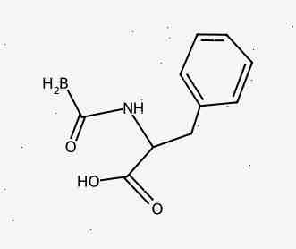 BC(=O)NC(Cc1ccccc1)C(=O)O